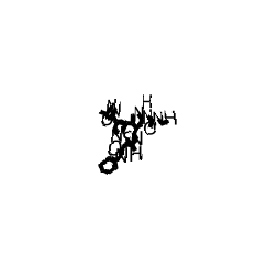 CCNC(=O)Nc1cc(-c2nc(C)c(C(=O)NC3CCCCC3)s2)c(-c2cncc(-c3nnc(C)o3)c2)cn1